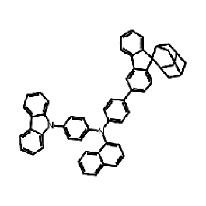 c1ccc2c(c1)-c1cc(-c3ccc(N(c4ccc(-n5c6ccccc6c6ccccc65)cc4)c4cccc5ccccc45)cc3)ccc1C21C2CC3CC(C2)CC1C3